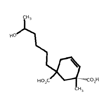 CC(O)CCCCC1(C(=O)O)CC=C[C@](C)(C(=O)O)C1